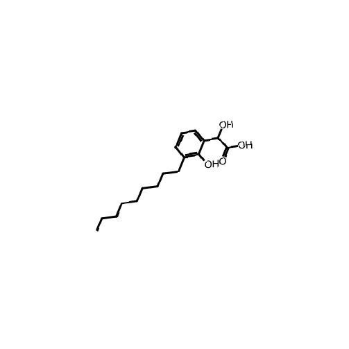 CCCCCCCCCc1cccc(C(O)C(=O)O)c1O